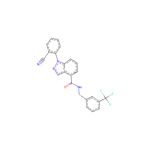 N#Cc1ccccc1-n1ncc2c(C(=O)NCc3cccc(C(F)(F)F)c3)cccc21